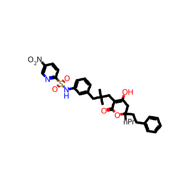 CCCC1(CCc2ccccc2)CC(O)=C(CC(C)(C)Cc2cccc(NS(=O)(=O)c3ccc([N+](=O)[O-])cn3)c2)C(=O)O1